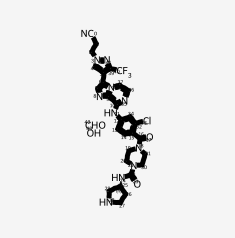 N#CCCn1cc(-c2cnc3c(Nc4ccc(C(=O)N5CCN(C(=O)N[C@@H]6CCNC6)CC5)c(Cl)c4)nccn23)c(C(F)(F)F)n1.O=CO